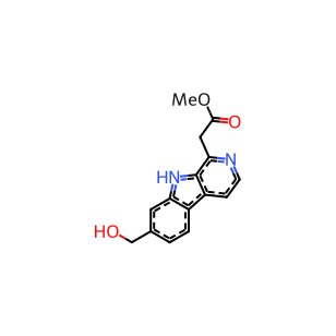 COC(=O)Cc1nccc2c1[nH]c1cc(CO)ccc12